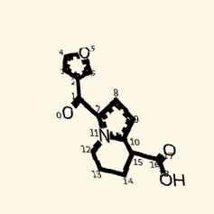 O=C(c1ccoc1)c1ccc2n1CCCC2C(=O)O